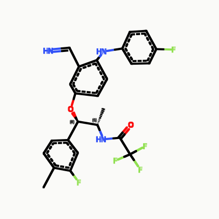 Cc1ccc([C@@H](Oc2ccc(Nc3ccc(F)cc3)c(C=N)c2)[C@H](C)NC(=O)C(F)(F)F)cc1F